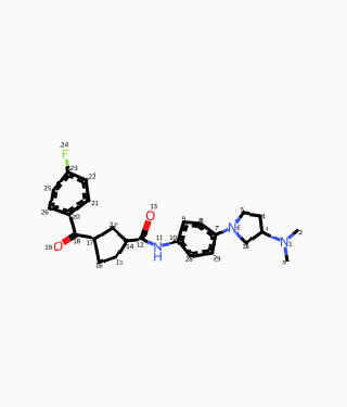 CN(C)C1CCN(c2ccc(NC(=O)C3CCC(C(=O)c4ccc(F)cc4)C3)cc2)C1